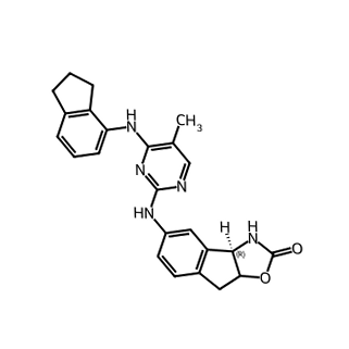 Cc1cnc(Nc2ccc3c(c2)[C@H]2NC(=O)OC2C3)nc1Nc1cccc2c1CCC2